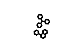 c1ccc(-c2cccc3ccccc23)cc1.c1ccc(C(c2ccccc2)c2ccccc2)cc1